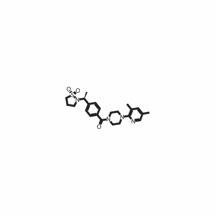 Cc1cnc(N2CCN(C(=O)c3ccc([C@H](C)N4CCCS4(=O)=O)cc3)CC2)c(C)c1